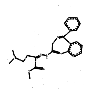 COC(=O)C(CCN(C)C)=NNC1=Nc2ccccc2C(c2ccccc2)=NC1